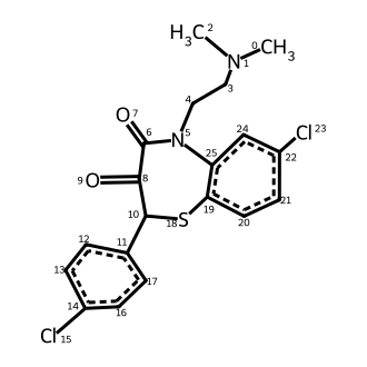 CN(C)CCN1C(=O)C(=O)C(c2ccc(Cl)cc2)Sc2ccc(Cl)cc21